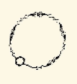 c1cc2ccc1CSCc1ccc(cc1)CSCc1ccc(cc1)CSCc1ccc(cc1)CSCc1ccc(cc1)CSC2